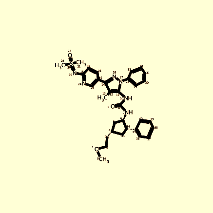 COCC[C@@H]1C[C@@H](NC(=O)Nc2c(C)c(-c3ccc(N=S(C)(C)=O)nc3)nn2-c2ccccc2)[C@H](c2ccccc2)C1